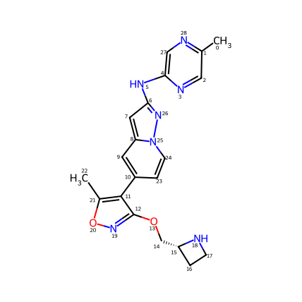 Cc1cnc(Nc2cc3cc(-c4c(OC[C@H]5CCN5)noc4C)ccn3n2)cn1